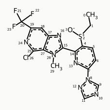 CC[S+]([O-])c1ccc(-n2cncn2)nc1-c1nc2cc(C(F)(F)F)nc(Cl)c2n1C